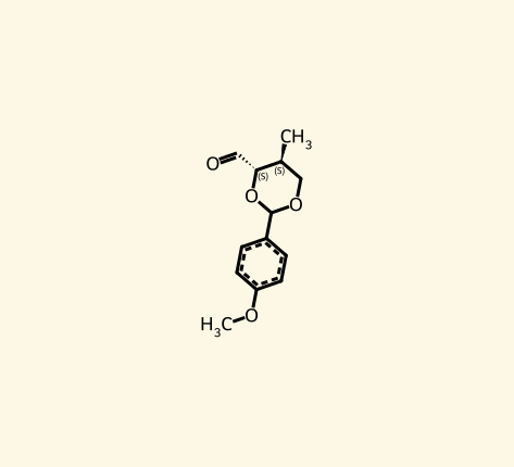 COc1ccc(C2OC[C@H](C)[C@@H](C=O)O2)cc1